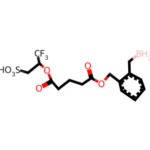 BCc1ccccc1COC(=O)CCCC(=O)OC(CS(=O)(=O)O)C(F)(F)F